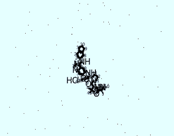 CN[C@@H](C)C(=O)N[C@H](C(=O)N1CCC[C@H]1C(=O)Nc1cc2c(Nc3ccc4c(c3)CCC4)ncnc2cc1OC)C(C)(C)C.Cl